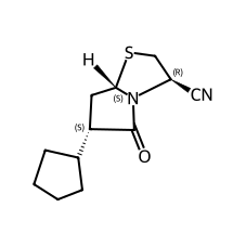 N#C[C@@H]1CS[C@H]2C[C@@H](C3CCCC3)C(=O)N12